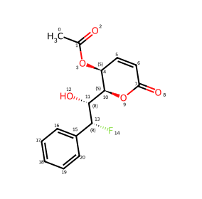 CC(=O)O[C@H]1C=CC(=O)O[C@H]1[C@@H](O)[C@H](F)c1ccccc1